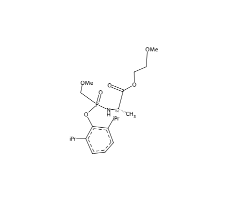 COCCOC(=O)[C@H](C)NP(=O)(COC)Oc1c(C(C)C)cccc1C(C)C